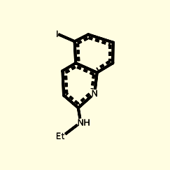 CCNc1ccc2c(I)cccc2n1